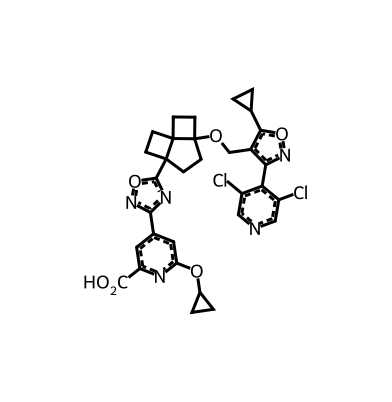 O=C(O)c1cc(-c2noc(C34CCC5(OCc6c(-c7c(Cl)cncc7Cl)noc6C6CC6)CCC53CC4)n2)cc(OC2CC2)n1